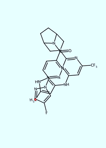 Cc1cc(Nc2cc(C(F)(F)F)nc(N3CC4CCC(C3)N4C(=O)c3ccc(-n4cc(F)cn4)nn3)n2)n[nH]1